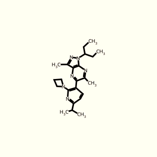 CCC(CC)n1nc(C)c2nc(-c3ccc(C(C)C)nc3N3CCC3)c(C)nc21